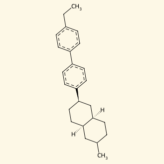 CCc1ccc(-c2ccc([C@@H]3CC[C@@H]4CC(C)CC[C@@H]4C3)cc2)cc1